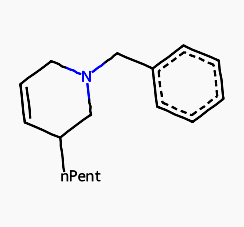 CCCCCC1C=CCN(Cc2ccccc2)C1